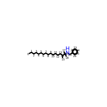 CCCCCCCCCCCCCCC(C)C(C)(C)NCc1ccccc1